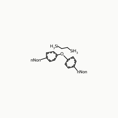 CCCCCCCCCc1ccc(Oc2ccc(CCCCCCCCC)cc2)cc1.[SiH3]CC[SiH3]